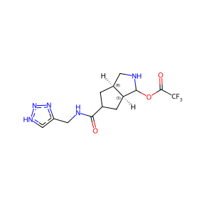 O=C(NCc1c[nH]nn1)C1C[C@H]2CNC(OC(=O)C(F)(F)F)[C@H]2C1